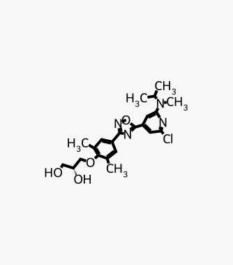 Cc1cc(-c2noc(-c3cc(Cl)nc(N(C)C(C)C)c3)n2)cc(C)c1OC[C@H](O)CO